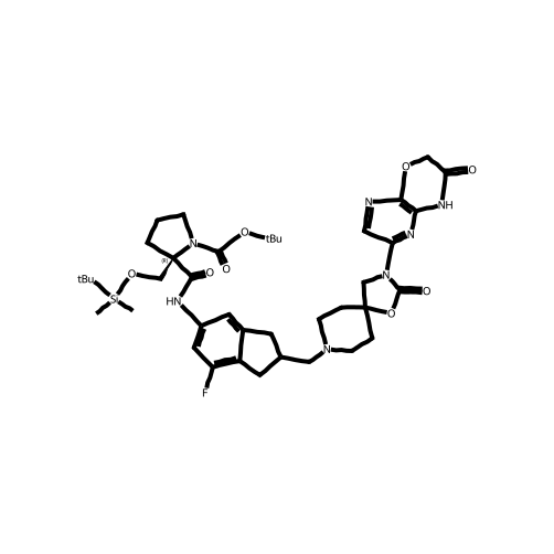 CC(C)(C)OC(=O)N1CCC[C@@]1(CO[Si](C)(C)C(C)(C)C)C(=O)Nc1cc(F)c2c(c1)CC(CN1CCC3(CC1)CN(c1cnc4c(n1)NC(=O)CO4)C(=O)O3)C2